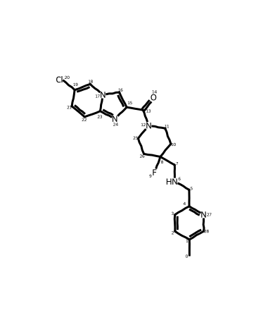 Cc1ccc(CNCC2(F)CCN(C(=O)c3cn4cc(Cl)ccc4n3)CC2)nc1